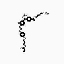 C=CC(=O)OCCCOc1ccc(OCOc2ccc(C(OO)c3ccc(C(=C)OCCOCOC)cc3)cc2C)cc1